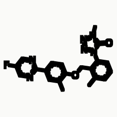 Cc1cc(-c2ncc(F)cn2)ccc1OCc1c(C)cccc1-n1nnn(C)c1=O